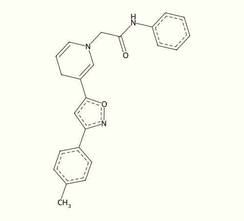 Cc1ccc(-c2cc(C3=CN(CC(=O)Nc4ccccc4)C=CC3)on2)cc1